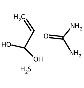 C=CC(O)O.NC(N)=O.S